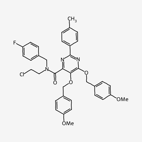 COc1ccc(COc2nc(-c3ccc(C)cc3)nc(C(=O)N(CCCl)Cc3ccc(F)cc3)c2OCc2ccc(OC)cc2)cc1